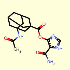 CC(=O)NC12CC3CC(C1)CC(C(=O)Oc1nc[nH]c1C(N)=O)(C3)C2